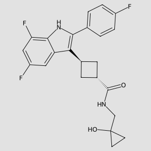 O=C(NCC1(O)CC1)[C@H]1C[C@H](c2c(-c3ccc(F)cc3)[nH]c3c(F)cc(F)cc32)C1